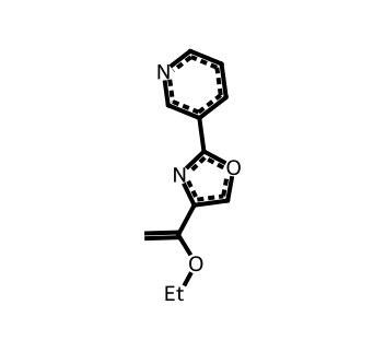 C=C(OCC)c1coc(-c2cccnc2)n1